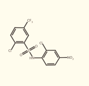 O=[N+]([O-])c1ccc(NS(=O)(=O)c2cc(C(F)(F)F)ccc2Cl)c(Cl)c1